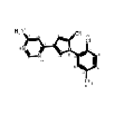 N#Cc1cc(-c2cc(N)ncn2)cn1-c1cc(C(F)(F)F)ccc1Cl